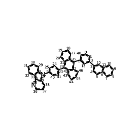 c1cc(-c2ccc3ccccc3c2)cc(-c2c3ccccc3c(-c3ccc(-n4c5ccccc5c5ncccc54)cc3)c3ccccc23)c1